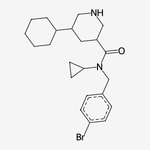 O=C(C1CNCC(C2CCCCC2)C1)N(Cc1ccc(Br)cc1)C1CC1